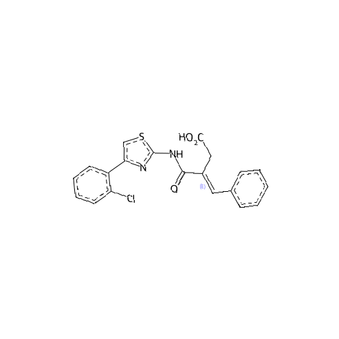 O=C(O)C/C(=C\c1ccccc1)C(=O)Nc1nc(-c2ccccc2Cl)cs1